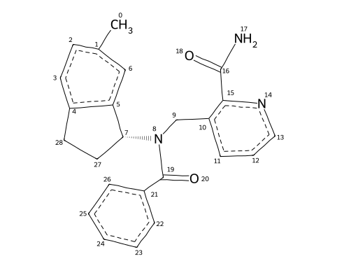 Cc1ccc2c(c1)[C@H](N(Cc1cccnc1C(N)=O)C(=O)c1ccccc1)CC2